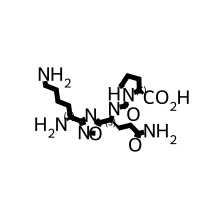 NCCCC[C@H](N)c1noc([C@H](CCC(N)=O)NC(=O)N2CCC[C@H]2C(=O)O)n1